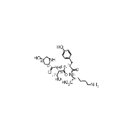 C[C@@H](O)[C@H](NC(=O)[C@@H]1C[C@@H](O)CN1)C(=O)N[C@@H](Cc1ccc(O)cc1)C(=O)N[C@@H](CCCCN)C(=O)O